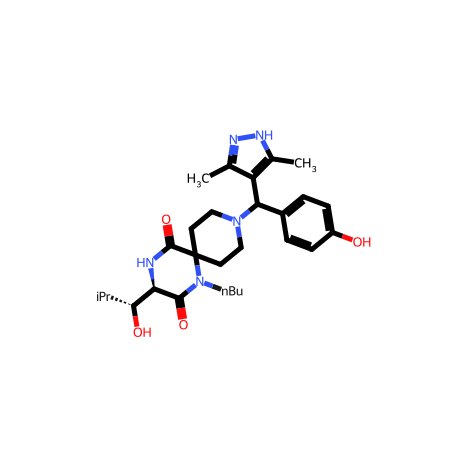 CCCCN1C(=O)[C@@H]([C@H](O)C(C)C)NC(=O)C12CCN(C(c1ccc(O)cc1)c1c(C)n[nH]c1C)CC2